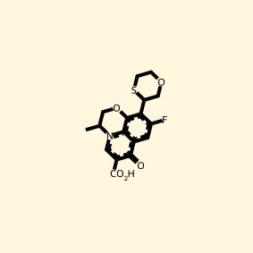 CC1COc2c(C3COCCS3)c(F)cc3c(=O)c(C(=O)O)cn1c23